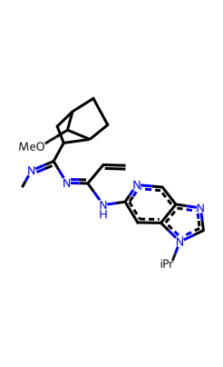 C=C/C(=N\C(=N/C)C1CC2CCC1C2OC)Nc1cc2c(cn1)ncn2C(C)C